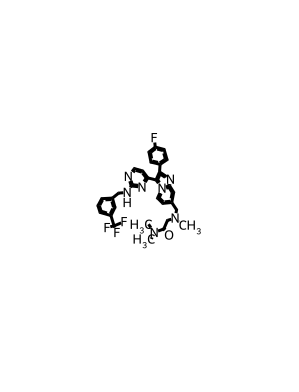 CN(CC(=O)N(C)C)Cc1ccn2c(-c3ccnc(NCc4cccc(C(F)(F)F)c4)n3)c(-c3ccc(F)cc3)nc2c1